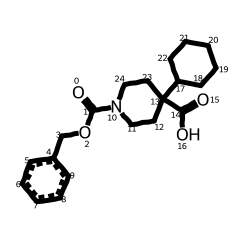 O=C(OCc1ccccc1)N1CCC(C(=O)O)(C2CCCCC2)CC1